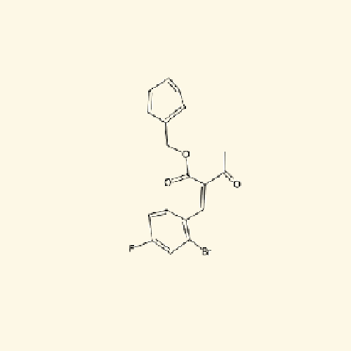 CC(=O)/C(=C/c1ccc(F)cc1Br)C(=O)OCc1ccccc1